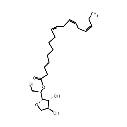 CC/C=C\C/C=C\C/C=C\CCCCCCCC(=O)O[C@H](CO)[C@H]1OC[C@H](O)[C@H]1O